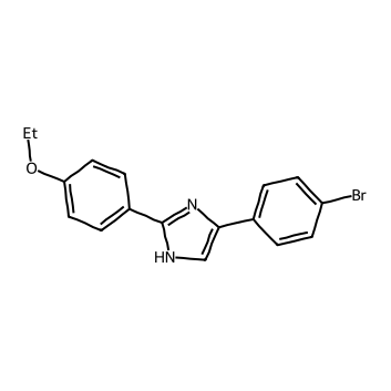 CCOc1ccc(-c2nc(-c3ccc(Br)cc3)c[nH]2)cc1